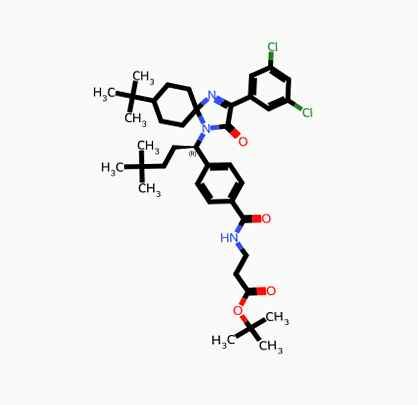 CC(C)(C)CC[C@H](c1ccc(C(=O)NCCC(=O)OC(C)(C)C)cc1)N1C(=O)C(c2cc(Cl)cc(Cl)c2)=NC12CCC(C(C)(C)C)CC2